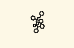 O=C(OCC(C=CC1CCCCC1)(C1CCCCC1)C1CCCCC1)C(C1CCCCC1)C1CCCCC1